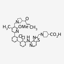 C/C=C/C(=O)C1CCN(Cc2c(C)cc(-c3cccc(-c4cccc(Nc5nccc6sc(CN7CCC(C(=O)O)CC7)nc56)c4Cl)c3Cl)nc2OC)C1